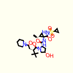 C=C[C@@H]1C[C@]1(NC(=O)[C@@H]1C[C@@H](O)CN1C(=O)[C@@H](CC(=O)N1CCCCC1)C(C)(C)C)C(=O)NS(=O)(=O)C1CC1